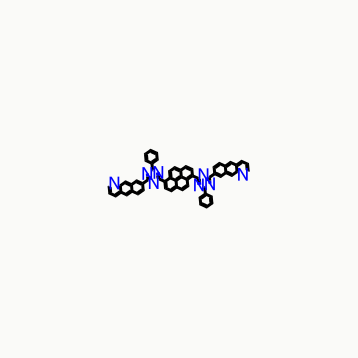 c1ccc(-c2nc(-c3ccc4cc5cccnc5cc4c3)nc(-c3ccc4ccc5c(-c6nc(-c7ccccc7)nc(-c7ccc8cc9cccnc9cc8c7)n6)ccc6ccc3c4c65)n2)cc1